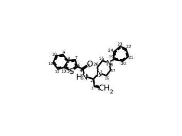 C=CC(NC(=O)c1cc2ccccc2s1)N1CCN(c2ccccc2)CC1